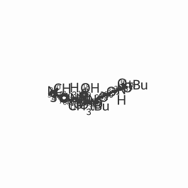 Cc1ncsc1-c1ccc([C@H](C)NC(=O)[C@@H]2C[C@@H](O)CN2C(=O)[C@@H](NC(=O)COCCOCCNC(=O)OC(C)(C)C)C(C)(C)C)cc1